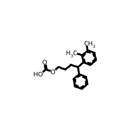 Cc1cccc(C(CCCOC(=O)O)c2ccccc2)c1C